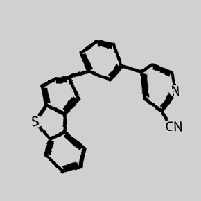 N#Cc1cc(-c2cccc(-c3ccc4sc5ccccc5c4c3)c2)ccn1